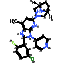 Cc1cc(N2C[C@H]3CC[C@@H](C2)N3)nc2c1nc(-c1cc(Cl)ccc1F)n2-c1ccncc1